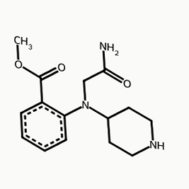 COC(=O)c1ccccc1N(CC(N)=O)C1CCNCC1